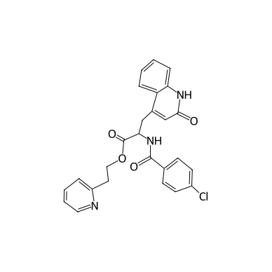 O=C(NC(Cc1cc(=O)[nH]c2ccccc12)C(=O)OCCc1ccccn1)c1ccc(Cl)cc1